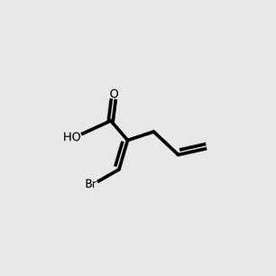 C=CCC(=CBr)C(=O)O